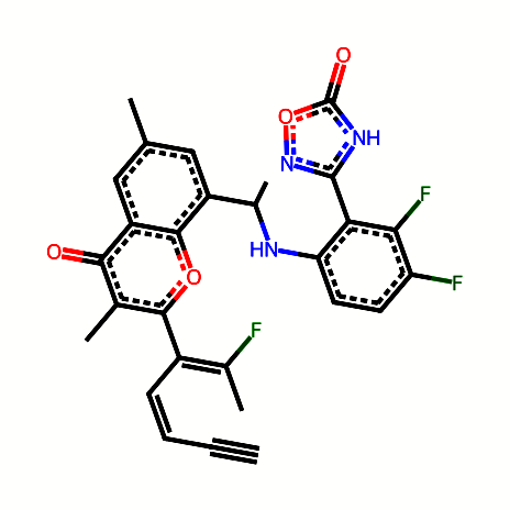 C#C/C=C\C(=C(/C)F)c1oc2c(C(C)Nc3ccc(F)c(F)c3-c3noc(=O)[nH]3)cc(C)cc2c(=O)c1C